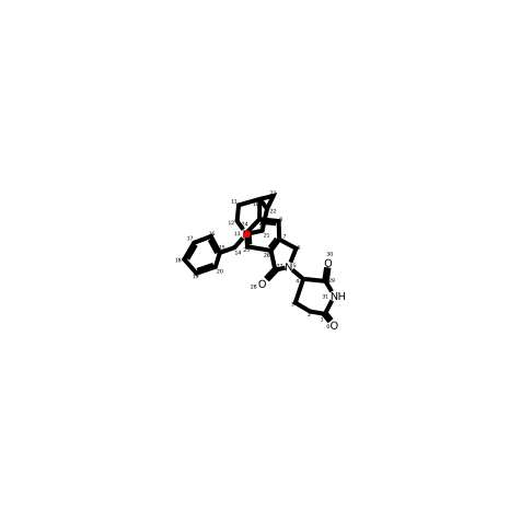 O=C1CCC(N2Cc3cc(C45CCN(Cc6ccccc6)CC4C5)ccc3C2=O)C(=O)N1